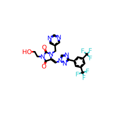 O=C1/C(=C/n2cnc(-c3cc(C(F)(F)F)cc(C(F)(F)F)c3)n2)N(Cc2cncnc2)C(=O)N1CCO